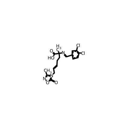 Cc1noc(=O)n1CC=CCCC(C)(N=Cc1ccc(Cl)c(Cl)c1)C(=O)O